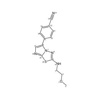 COCCNc1nn2c(-c3ccc(C#N)cc3)cnc2s1